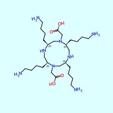 NCCCC[C@H]1CN(CC(=O)O)[C@@H](CCCCN)CN[C@@H](CCCCN)CN(CC(=O)O)[C@@H](CCCCN)CN1